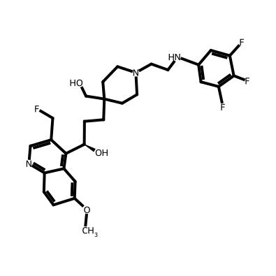 COc1ccc2ncc(CF)c([C@H](O)CCC3(CO)CCN(CCNc4cc(F)c(F)c(F)c4)CC3)c2c1